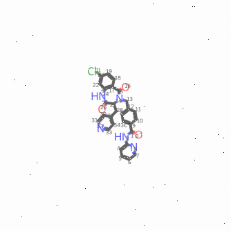 O=C(Nc1ccccn1)c1ccc(CN2C(=O)c3ccc(Cl)cc3NC(=O)C2Cc2ccncc2)cc1